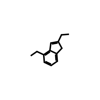 CCC1=Cc2c(CC)cccc2C1